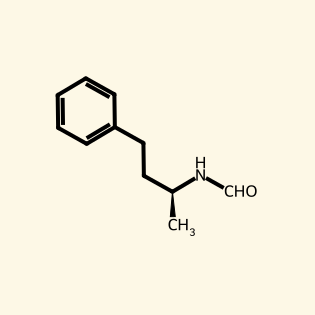 C[C@@H](CCc1ccccc1)NC=O